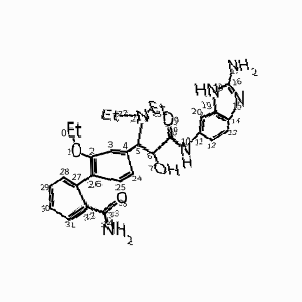 CCOc1cc(C(C(O)C(=O)Nc2ccc3nc(N)[nH]c3c2)N(CC)CC)ccc1-c1ccccc1C(N)=O